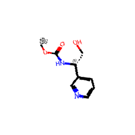 CC(C)(C)OC(=O)N[C@H](CO)c1cccnc1